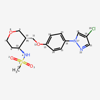 CS(=O)(=O)N[C@H]1CCOC[C@@H]1COc1ccc(-n2cc(Cl)cn2)cc1